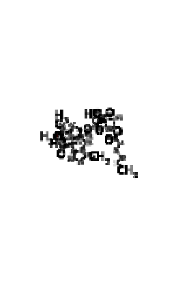 CCCCCC(=O)OC1C2OC3(OCC45CC6C(C)CCC6C6(C=O)CC4C=C(C(C)C)C65C(=O)O)OC2OC1C3O